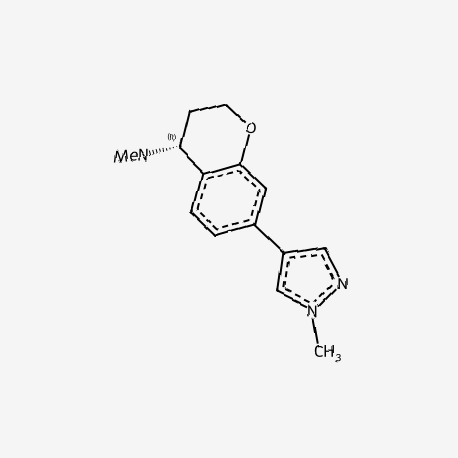 CN[C@@H]1CCOc2cc(-c3cnn(C)c3)ccc21